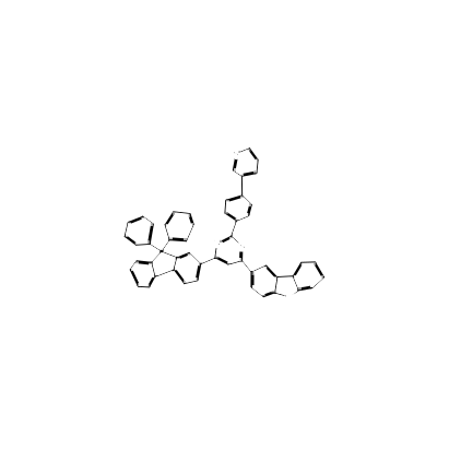 c1ccc(C2(c3ccccc3)c3ccccc3-c3ccc(-c4cc(-c5ccc6oc7ccccc7c6c5)nc(-c5ccc(-c6cccnc6)cc5)n4)cc32)cc1